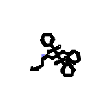 CC(=O)OC/C=C\CC(Cc1ccccc1I)(S(=O)(=O)c1ccccc1)S(=O)(=O)c1ccccc1